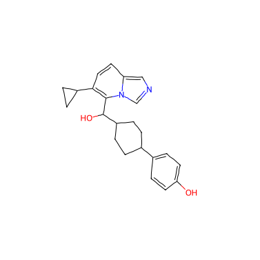 Oc1ccc(C2CCC(C(O)c3c(C4CC4)ccc4cncn34)CC2)cc1